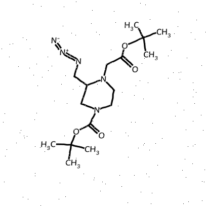 CC(C)(C)OC(=O)CN1CCN(C(=O)OC(C)(C)C)CC1CN=[N+]=[N-]